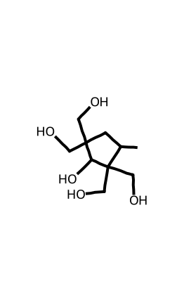 CC1CC(CO)(CO)C(O)C1(CO)CO